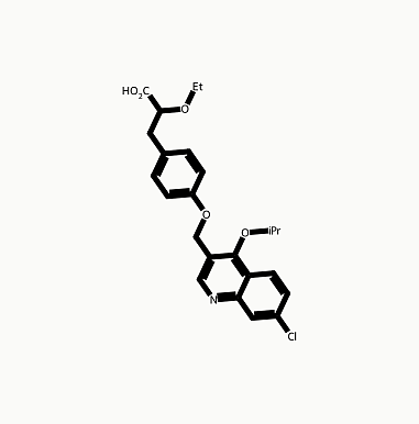 CCOC(Cc1ccc(OCc2cnc3cc(Cl)ccc3c2OC(C)C)cc1)C(=O)O